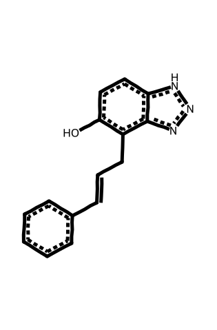 Oc1ccc2[nH]nnc2c1CC=Cc1ccccc1